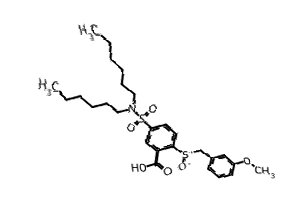 CCCCCCN(CCCCCC)S(=O)(=O)c1ccc([S+]([O-])Cc2cccc(OC)c2)c(C(=O)O)c1